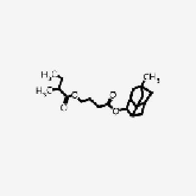 CCC(C)C(=O)OCCCC(=O)OC1C2CC3CC1CC(C)(C3)C2